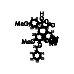 COc1ccc(C2(O)OC(=O)C(c3ccc4nsnc4c3)=C2Cc2cc(OC)c(OCc3ccccc3)c(OC)c2)cc1